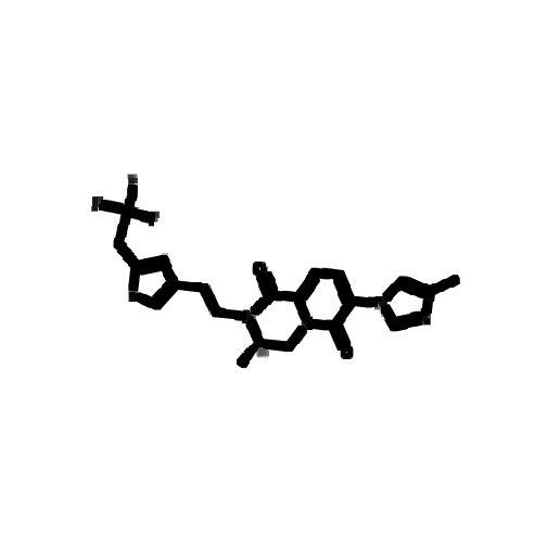 Cc1cn(-c2ccc3n(c2=O)C[C@@H](C)N(CCc2csc(CC(F)(F)F)c2)C3=O)cn1